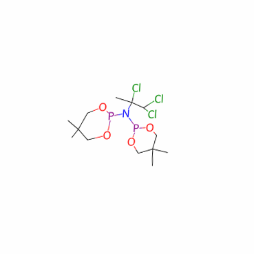 CC1(C)COP(N(P2OCC(C)(C)CO2)C(C)(Cl)C(Cl)Cl)OC1